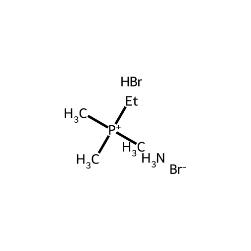 Br.CC[P+](C)(C)C.N.[Br-]